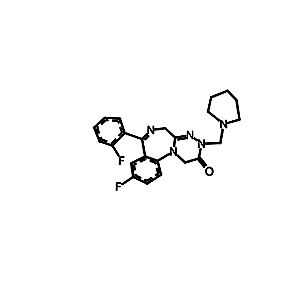 O=C1CN2C(=NN1CN1CCCCC1)CN=C(c1ccccc1F)c1cc(F)ccc12